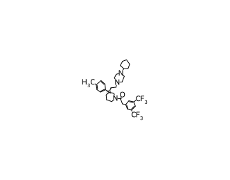 Cc1ccc([C@@]2(CCN3CCN(C4CCCCC4)CC3)CCCN(C(=O)Cc3cc(C(F)(F)F)cc(C(F)(F)F)c3)C2)cc1